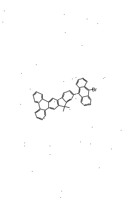 CC1(C)c2cc(-c3c4ccccc4c(Br)c4ccccc34)ccc2-c2cc3c4ccccc4c4ccccc4c3cc21